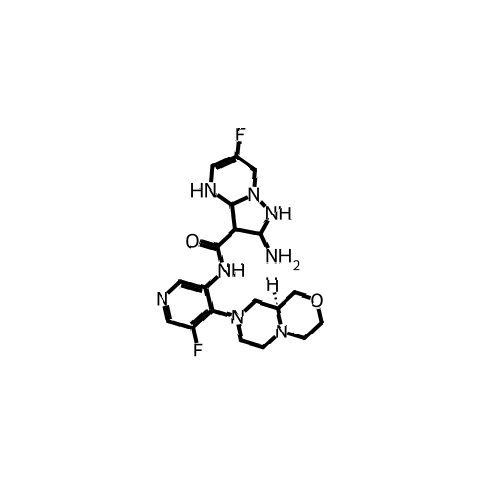 NC1NN2CC(F)=CNC2C1C(=O)Nc1cncc(F)c1N1CCN2CCOC[C@@H]2C1